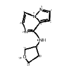 c1cn2nccc2c(NC2CCOC2)n1